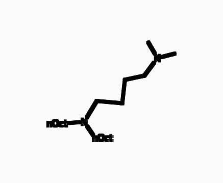 CCCCCCCCN(CCCCCCCC)CCCCN(C)C